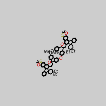 CCC1(CC)CCC2(CC1)c1ccccc1-c1c2c2c(c3cc4c(cc13)OC(C)(C)S4)OC(c1ccc(OC)cc1)C(c1ccc(Oc3ccc(C4(c5ccc(OC)cc5)C=Cc5c6c(c7cc8c(cc7c5O4)SC(C)(C)O8)-c4ccccc4C64CCC(CC)(CC)CC4)cc3)cc1)=C2